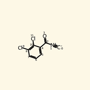 [C-]#[N+]C(=O)c1cccc(Cl)c1Cl